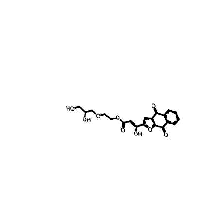 O=C(/C=C(\O)c1cc2c(o1)C(=O)c1ccccc1C2=O)OCCOCC(O)CO